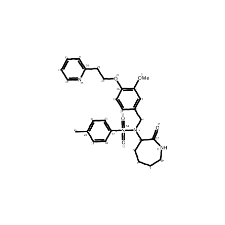 COc1cc(CN(C2CCCCNC2=O)S(=O)(=O)c2ccc(C)cc2)ccc1OCCc1ccccn1